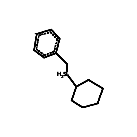 [c]1ccc(C[SiH2]C2CCCCC2)cc1